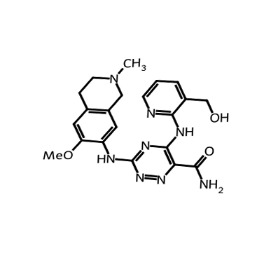 COc1cc2c(cc1Nc1nnc(C(N)=O)c(Nc3ncccc3CO)n1)CN(C)CC2